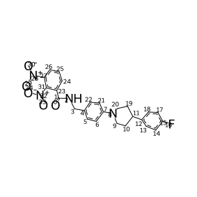 O=C(NCc1ccc(N2CCC(c3ccc(F)cc3)CC2)cc1)c1cccc([N+](=O)[O-])c1[N+](=O)[O-]